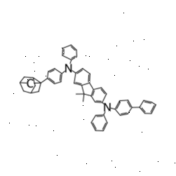 CC1(C)c2cc(N(c3ccccc3)c3ccc(-c4ccccc4)cc3)ccc2-c2ccc(N(c3ccccc3)c3ccc(C45CC6CC(CC4C6)C5)cc3)cc21